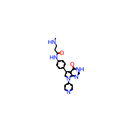 CNCCC(=O)Nc1ccc(-c2cn(-c3ccncc3)c3nc[nH]c(=O)c23)cc1